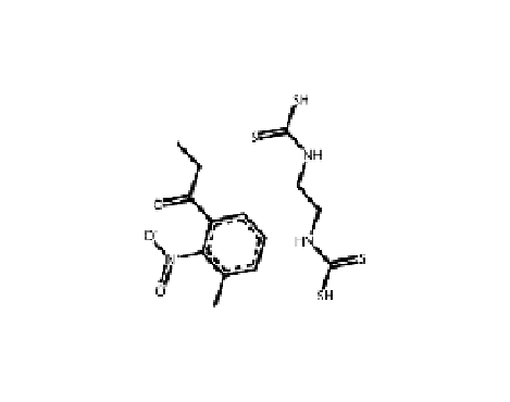 CCC(=O)c1cccc(C)c1[N+](=O)[O-].S=C(S)NCCNC(=S)S